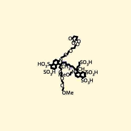 COCCOCCOCCOCCC1(C)\C(=C/C=C/C=C/C2=[N+](CCOC)c3ccc4c(S(=O)(=O)O)cc(S(=O)(=O)O)cc4c3C2(C)CCCS(=O)(=O)O)N(CCOCCOCCC(=O)ON2C(=O)CCC2=O)c2ccc3c(S(=O)(=O)O)cc(S(=O)(=O)O)cc3c21